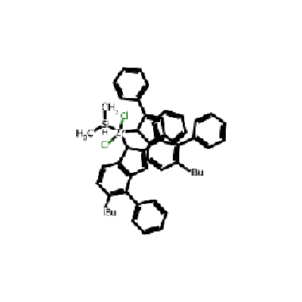 CCC(C)c1ccc2c(c1-c1ccccc1)C=C(c1ccccc1)[CH]2[Zr]([Cl])([Cl])([CH]1C(c2ccccc2)=Cc2c1ccc(C(C)CC)c2-c1ccccc1)[SiH](C)C